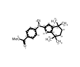 CCN(c1ccc(C(=O)OC)cc1)c1cc2c(s1)C(C)(C)CCC2(C)C